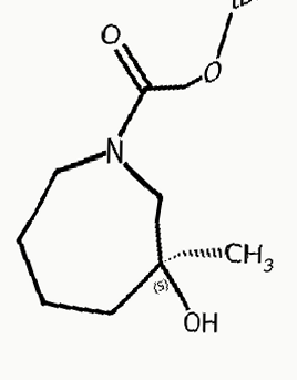 CC(C)(C)OC(=O)N1CCCC[C@](C)(O)C1